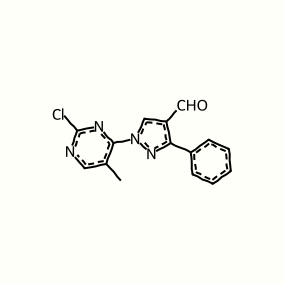 Cc1cnc(Cl)nc1-n1cc(C=O)c(-c2ccccc2)n1